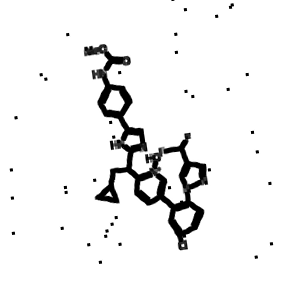 COC(=O)Nc1ccc(-c2cnc(C(CC3CC3)c3ccc(-c4cc(Cl)ccc4-n4cc(C(F)F)cn4)c[n+]3O)[nH]2)cc1